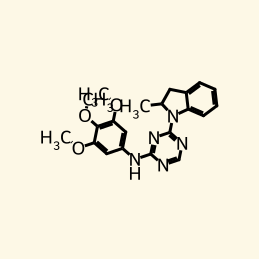 COc1cc(Nc2ncnc(N3c4ccccc4CC3C)n2)cc(OC)c1OC